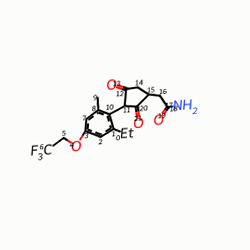 CCc1cc(OCC(F)(F)F)cc(C)c1C1C(=O)CC(CC(N)=O)C1=O